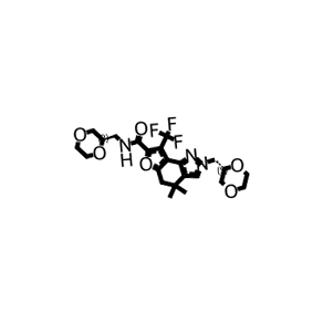 CC1(C)Cc2oc(C(=O)NC[C@@H]3COCCO3)c(C(F)(F)F)c2-c2nn(C[C@H]3COCCO3)cc21